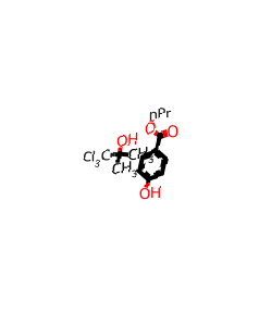 CC(C)(O)C(Cl)(Cl)Cl.CCCOC(=O)c1ccc(O)cc1